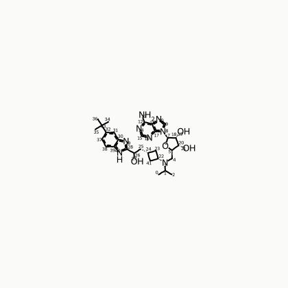 CC(C)N(C[C@H]1O[C@@H](n2cnc3c(N)ncnc32)[C@H](O)[C@@H]1O)[C@H]1C[C@@H](CC(O)c2nc3cc(C(C)(C)C)ccc3[nH]2)C1